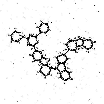 c1ccc(-c2nc(-c3ccccc3)nc(-c3ccc4c(c3)oc3c(-n5c6ccccc6c6cc(-c7ccc8sc9ccccc9c8c7)ccc65)cccc34)n2)cc1